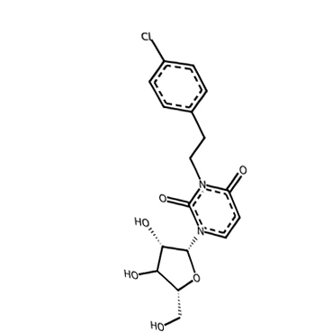 O=c1ccn([C@@H]2O[C@H](CO)C(O)[C@@H]2O)c(=O)n1CCc1ccc(Cl)cc1